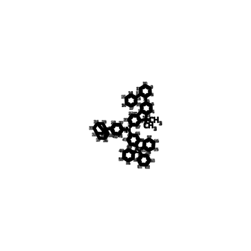 CC1(C)c2ccc(-c3ccccc3-c3ccccc3)cc2-c2ccc(N(c3ccc(C45CC6CC(CC(C6)C4)C5)cc3)c3ccc([Si](c4ccccc4)(c4ccccc4)c4ccccc4)cc3)cc21